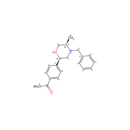 COC(=O)c1ccc([C@@H]2CN(Cc3ccccc3)[C@H](C)CO2)cc1